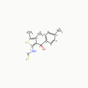 Cc1sc(NC=S)c(C(=O)c2ccc([N+](=O)[O-])cc2)c1C